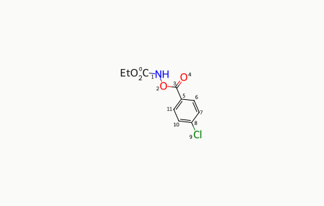 CCOC(=O)NOC(=O)c1ccc(Cl)cc1